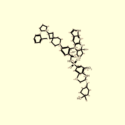 Cc1ccccc1[C@@H]1CCCN1C1CC2(CCN(c3ccc(C(=O)NS(=O)(=O)c4cc5c(c([N+](=O)[O-])c4)N[C@H](CC4CCC(C)(O)CC4)CO5)c(N4c5cc6cc[nH]c6nc5O[C@@H]5COC[C@H]54)c3)CC2)C1